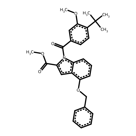 COC(=O)c1cc2c(OCc3ccccc3)cccc2n1C(=O)c1ccc(C(C)(C)C)c(OC)c1